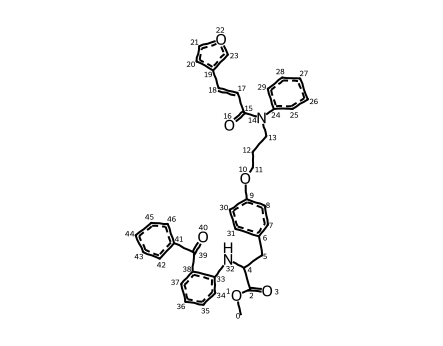 COC(=O)C(Cc1ccc(OCCCN(C(=O)C=Cc2ccoc2)c2ccccc2)cc1)Nc1ccccc1C(=O)c1ccccc1